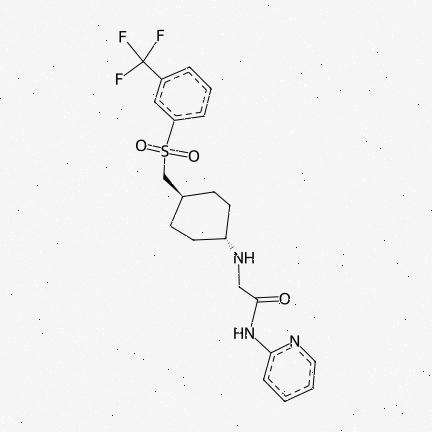 O=C(CN[C@H]1CC[C@H](CS(=O)(=O)c2cccc(C(F)(F)F)c2)CC1)Nc1ccccn1